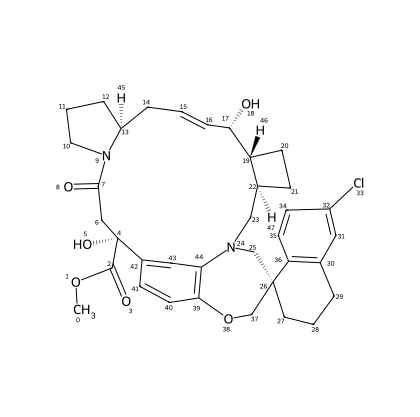 COC(=O)[C@@]1(O)CC(=O)N2CCC[C@H]2C/C=C/[C@H](O)[C@@H]2CC[C@H]2CN2C[C@]3(CCCc4cc(Cl)ccc43)COc3ccc1cc32